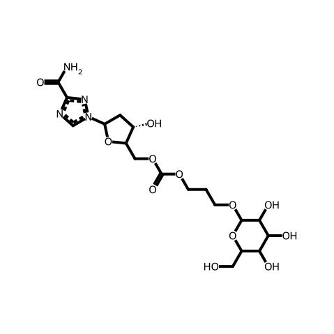 NC(=O)c1ncn(C2C[C@H](O)C(COC(=O)OCCCOC3OC(CO)C(O)C(O)C3O)O2)n1